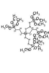 CO[Si](CCC[Si](CCC[Si](OC)(OC)OC)(CCC[Si](OC)(OC)OC)CCC[Si](OC)(OC)OC)(OC)OC